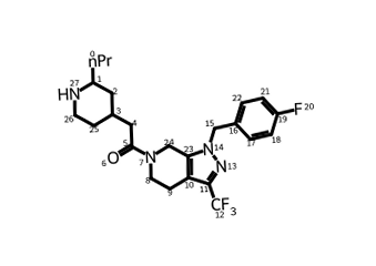 CCCC1CC(CC(=O)N2CCc3c(C(F)(F)F)nn(Cc4ccc(F)cc4)c3C2)CCN1